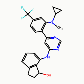 CN(c1cc(C(F)(F)F)ccc1-c1cc(Nc2cccc3c2C(O)CC3)ncn1)C1CC1